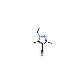 [CH2]c1c(C#N)c(C)nn1CC